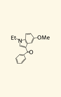 CCn1cc(C(=O)c2ccccc2)c2cc(OC)ccc21